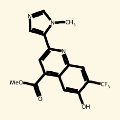 COC(=O)c1cc(-c2cncn2C)nc2cc(C(F)(F)F)c(O)cc12